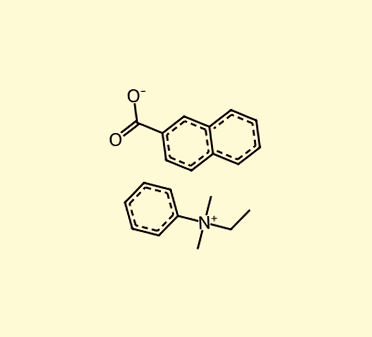 CC[N+](C)(C)c1ccccc1.O=C([O-])c1ccc2ccccc2c1